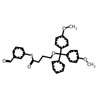 COc1ccc(C(OCCCC(=O)Sc2cccc(C=O)c2)(c2ccccc2)c2ccc(OC)cc2)cc1